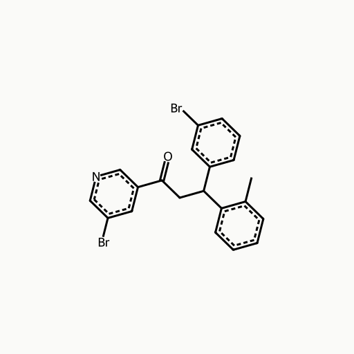 Cc1ccccc1C(CC(=O)c1cncc(Br)c1)c1cccc(Br)c1